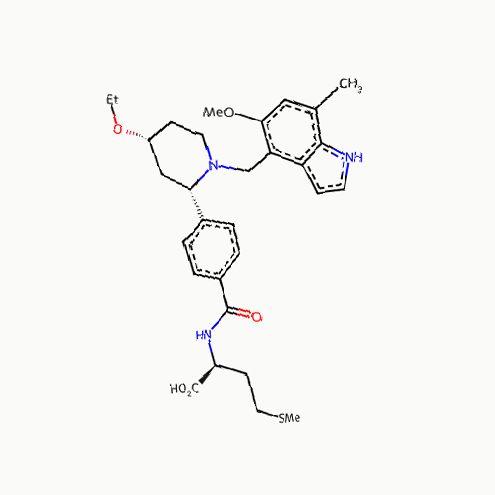 CCO[C@@H]1CCN(Cc2c(OC)cc(C)c3[nH]ccc23)[C@H](c2ccc(C(=O)N[C@@H](CCSC)C(=O)O)cc2)C1